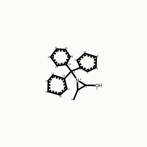 CC1C(O)N1C(c1ccccc1)(c1ccccc1)c1ccccc1